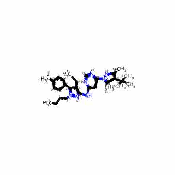 CCCCn1nc(Nc2cc(-n3nc(C)c(C(C)(C)C)c3C)ncn2)c(CC)c1-c1ccc(C)cc1